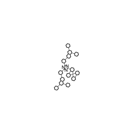 c1ccc(-c2cc(-c3ccccc3)c3ccc(-c4cccc(-c5nc(-c6cccc(-c7ccc8c(-c9ccccc9)cc(-c9ccccc9)cc8c7)c6)nc(-c6cccc7c6-c6ccccc6C76c7ccccc7-c7ccccc76)n5)c4)cc3c2)cc1